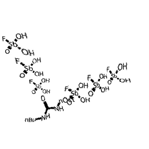 CCCCCCCCNC(=O)NCCCC.[O]=[Sb]([OH])([OH])[F].[O]=[Sb]([OH])([OH])[F].[O]=[Sb]([OH])([OH])[F].[O]=[Sb]([OH])([OH])[F].[O]=[Sb]([OH])([OH])[F].[O]=[Sb]([OH])([OH])[F]